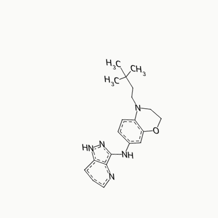 CC(C)(C)CCN1CCOc2cc(Nc3n[nH]c4cccnc34)ccc21